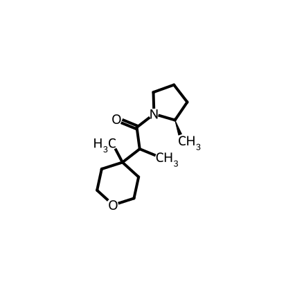 CC(C(=O)N1CCC[C@H]1C)C1(C)CCOCC1